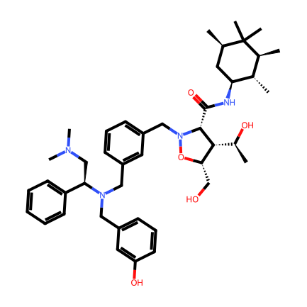 C[C@@H]1[C@@H](NC(=O)[C@@H]2[C@H]([C@H](C)O)[C@H](CO)ON2Cc2cccc(CN(Cc3cccc(O)c3)[C@H](CN(C)C)c3ccccc3)c2)C[C@@H](C)C(C)(C)[C@H]1C